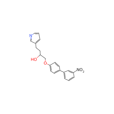 O=[N+]([O-])c1cccc(-c2ccc(OCC(O)CCc3cccnc3)cc2)c1